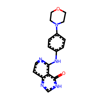 O=c1[nH]cnc2ccnc(Nc3ccc(N4CCOCC4)cc3)c12